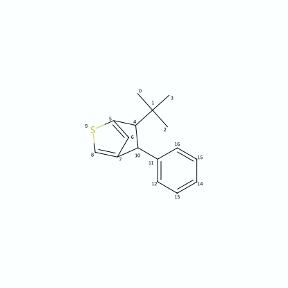 CC(C)(C)C1c2cc(cs2)C1c1ccccc1